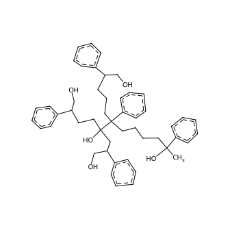 CC(O)(CCCCC(CCCC(CO)c1ccccc1)(c1ccccc1)C(O)(CCC(CO)c1ccccc1)CC(CO)c1ccccc1)c1ccccc1